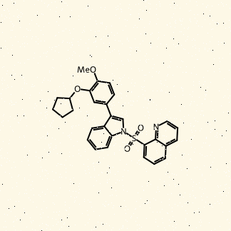 COc1ccc(-c2cn(S(=O)(=O)c3cccc4cccnc34)c3ccccc23)cc1OC1CCCC1